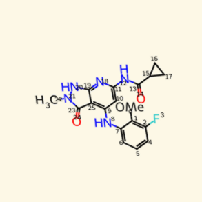 COc1c(F)cccc1Nc1cc(NC(=O)C2CC2)nc2[nH]n(C)c(=O)c12